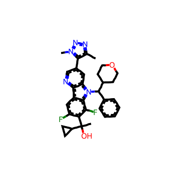 Cc1nnn(C)c1-c1cnc2c3cc(F)c(C(C)(O)C4CC4)c(F)c3n(C(c3ccccc3)C3CCOCC3)c2c1